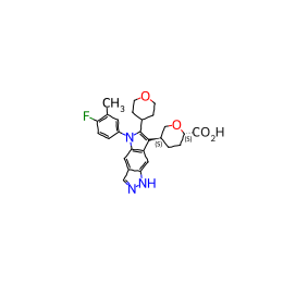 Cc1cc(-n2c(C3CCOCC3)c([C@@H]3CC[C@@H](C(=O)O)OC3)c3cc4[nH]ncc4cc32)ccc1F